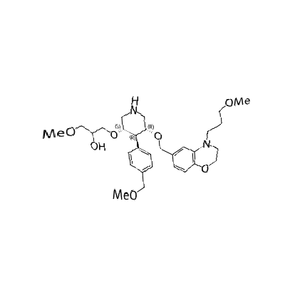 COCCCN1CCOc2ccc(CO[C@H]3CNC[C@@H](OCC(O)COC)[C@@H]3c3ccc(COC)cc3)cc21